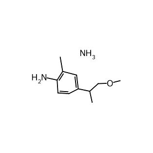 COCC(C)c1ccc(N)c(C)c1.N